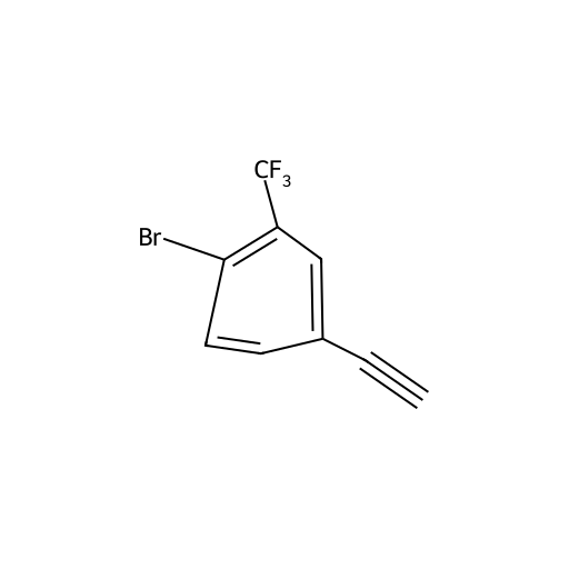 C#Cc1ccc(Br)c(C(F)(F)F)c1